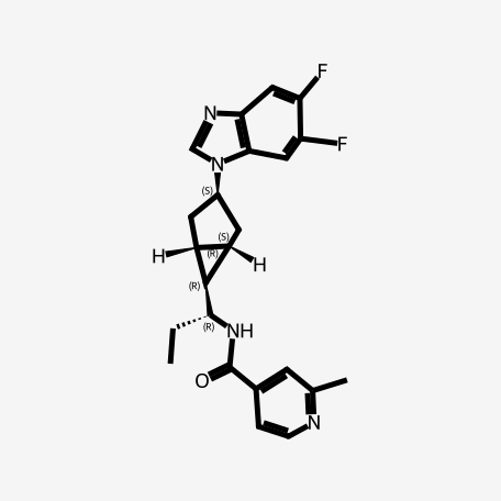 CC[C@@H](NC(=O)c1ccnc(C)c1)[C@H]1[C@@H]2C[C@@H](n3cnc4cc(F)c(F)cc43)C[C@@H]21